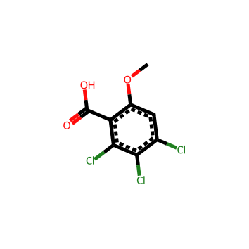 COc1cc(Cl)c(Cl)c(Cl)c1C(=O)O